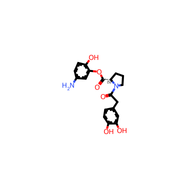 Nc1ccc(O)c(OC(=O)[C@@H]2CCCN2C(=O)Cc2ccc(O)c(O)c2)c1